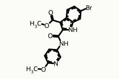 COC(=O)c1c(C(=O)Nc2ccc(OC)nc2)[nH]c2cc(Br)ccc12